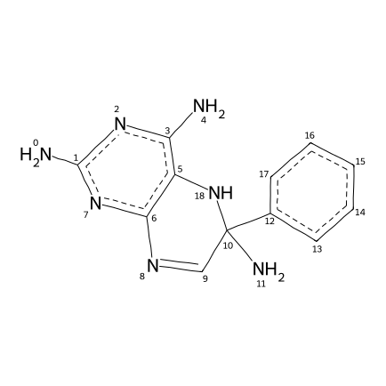 Nc1nc(N)c2c(n1)N=CC(N)(c1ccccc1)N2